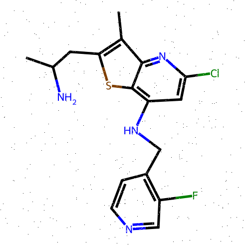 Cc1c(CC(C)N)sc2c(NCc3ccncc3F)cc(Cl)nc12